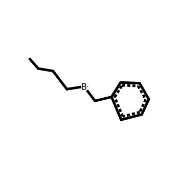 CCCC[B]Cc1ccccc1